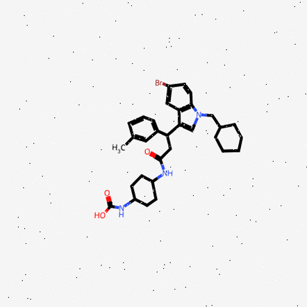 Cc1cccc(C(CC(=O)NC2CCC(NC(=O)O)CC2)c2cn(CC3CCCCC3)c3ccc(Br)cc23)c1